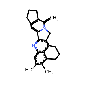 C=C1C2=C(C=C3c4nc5cc(C)c(C)c6c5c(c4CN13)CCC6)CCC2